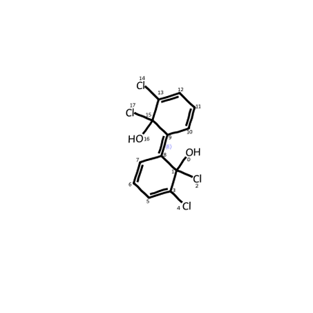 OC1(Cl)C(Cl)=CC=C/C1=C1/C=CC=C(Cl)C1(O)Cl